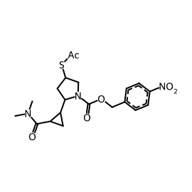 CC(=O)SC1CC(C2CC2C(=O)N(C)C)N(C(=O)OCc2ccc([N+](=O)[O-])cc2)C1